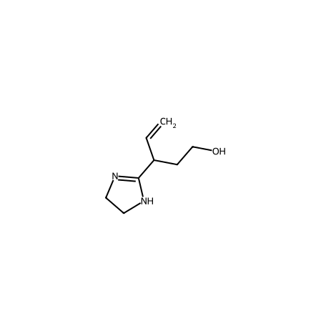 C=CC(CCO)C1=NCCN1